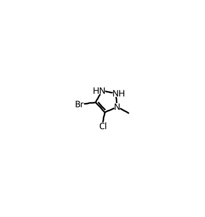 CN1NNC(Br)=C1Cl